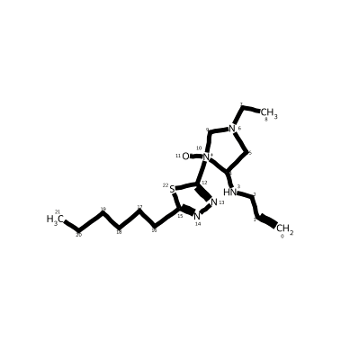 C=CCNC1CN(CC)C[N+]1([O-])c1nnc(CCCCCC)s1